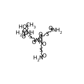 CC(O)CC(=O)N[C@H](CSCCC(=O)N1CN(C(=O)CCSCCC(N)=O)CN(C(=O)CCSCCC(N)=O)C1)C(N)=O